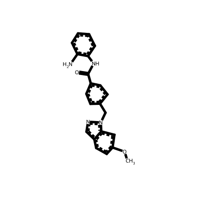 COc1ccc2cnn(Cc3ccc(C(=O)Nc4ccccc4N)cc3)c2c1